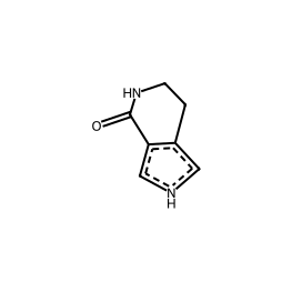 O=C1NCCc2c[nH]cc21